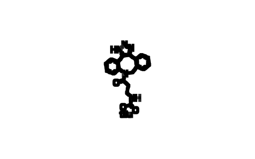 CC(C)(C)OC(=O)NCCC(=O)N1Cc2ccccc2-c2nn[nH]c2-c2ccccc21